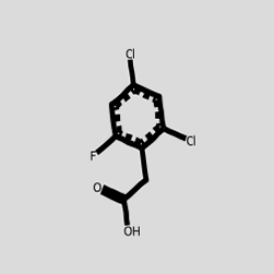 O=C(O)Cc1c(F)cc(Cl)cc1Cl